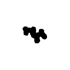 c1cc(-c2nc(-c3ccc4c5ccccc5c5ccccc5c4c3)c3ccccc3n2)cc(-n2c3ccc(-n4c5ccccc5c5cc6ccccc6cc54)cc3c3cc4ccccc4cc32)c1